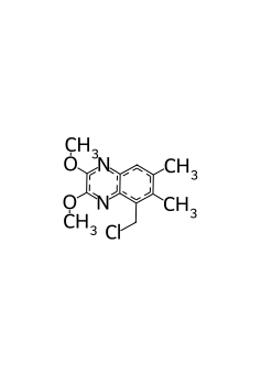 COc1nc2cc(C)c(C)c(CCl)c2nc1OC